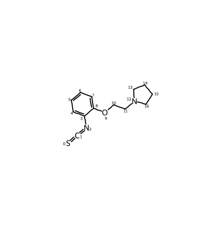 S=C=Nc1ccccc1OCCN1CCCC1